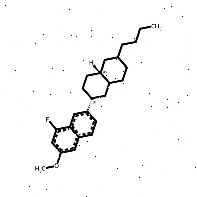 CCCCC1CCC2C[C@H](c3ccc4cc(OC)cc(F)c4c3)CC[C@@H]2C1